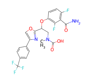 CN(CC(Oc1ccc(F)c(C(N)=O)c1F)c1nc(-c2ccc(C(F)(F)F)cc2)co1)C(=O)O